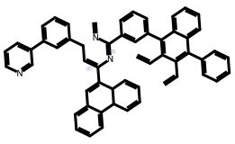 C=Cc1c(C=C)c(-c2cccc(/C(N=C)=N/C(=C\Cc3cccc(-c4cccnc4)c3)C3=Cc4ccccc4C4C=CC=CC34)c2)c2ccccc2c1-c1ccccc1